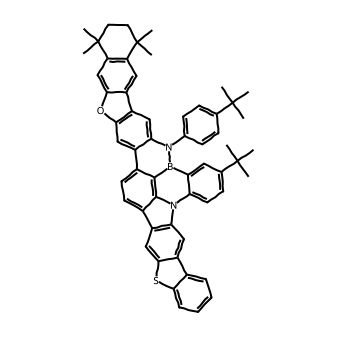 CC(C)(C)c1ccc(N2B3c4cc(C(C)(C)C)ccc4-n4c5cc6c(cc5c5ccc(c3c54)-c3cc4oc5cc7c(cc5c4cc32)C(C)(C)CCC7(C)C)sc2ccccc26)cc1